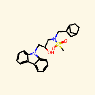 CS(=O)(=O)N(CC(O)Cn1c2ccccc2c2ccccc21)CC1CC2CCC1C2